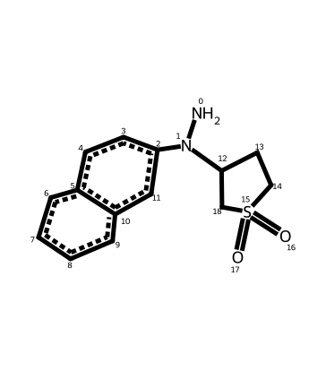 NN(c1ccc2ccccc2c1)C1CCS(=O)(=O)C1